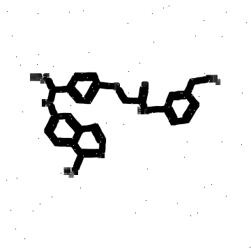 NCc1cccc(NC(=O)COc2ccc(C(Nc3ccc4c(N)nccc4c3)C(=O)O)cc2)c1